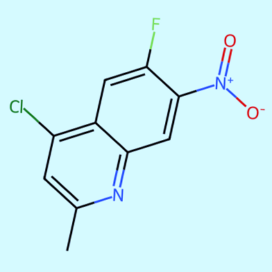 Cc1cc(Cl)c2cc(F)c([N+](=O)[O-])cc2n1